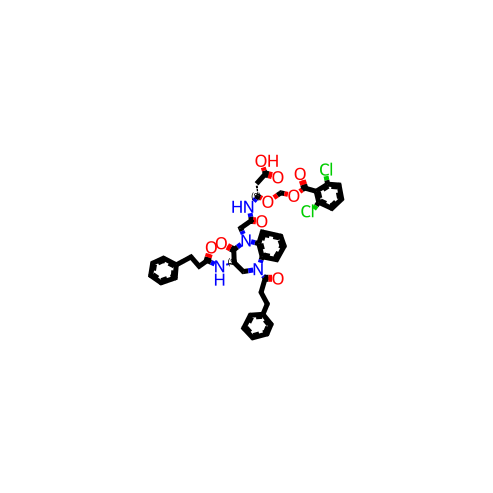 O=C(O)C[C@@H](NC(=O)CN1C(=O)[C@@H](NC(=O)CCc2ccccc2)CN(C(=O)CCc2ccccc2)c2ccccc21)OCOC(=O)c1c(Cl)cccc1Cl